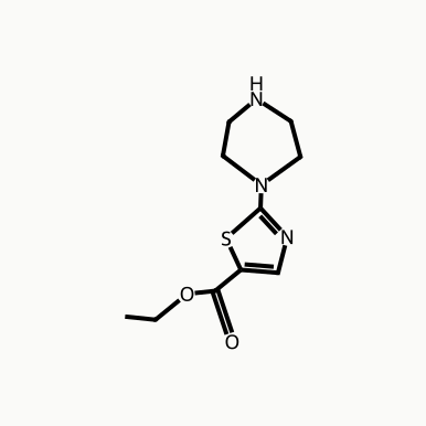 CCOC(=O)c1cnc(N2CCNCC2)s1